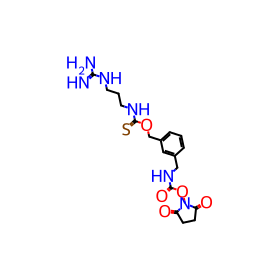 N=C(N)NCCCNC(=S)OCc1cccc(CNC(=O)ON2C(=O)CCC2=O)c1